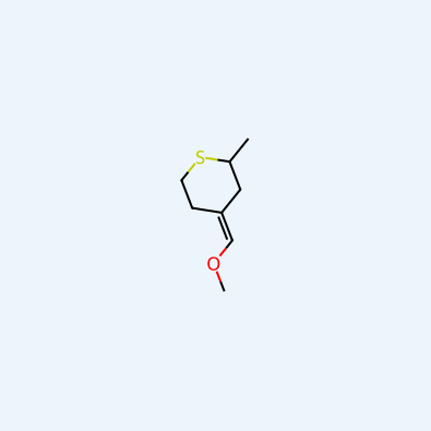 COC=C1CCSC(C)C1